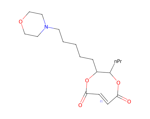 CCCC1OC(=O)/C=C/C(=O)OC1CCCCCN1CCOCC1